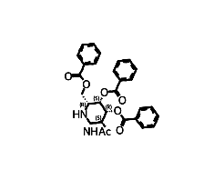 CC(=O)N[C@H]1CN[C@H](COC(=O)c2ccccc2)[C@H](OC(=O)c2ccccc2)[C@@H]1OC(=O)c1ccccc1